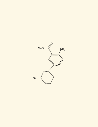 CC[C@@H]1CN(c2ccc([N+](=O)[O-])c(C(=O)OC)c2)CCO1